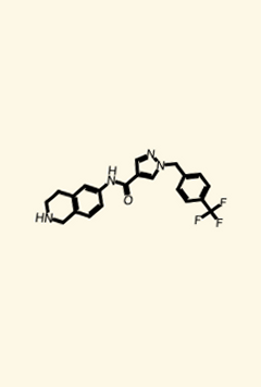 O=C(Nc1ccc2c(c1)CCNC2)c1cnn(Cc2ccc(C(F)(F)F)cc2)c1